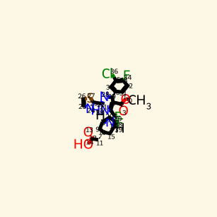 COC(=O)C1=C(CN2[C@@H]3C[C@@H](CC(=O)O)C[C@H]2C(F)(F)C3)NC(c2nccs2)=N[C@H]1c1ccc(F)c(Cl)c1